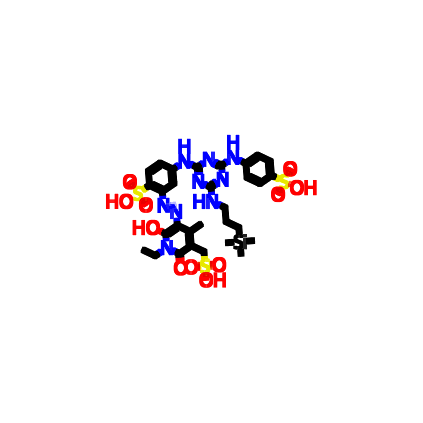 CCn1c(O)c(/N=N/c2cc(Nc3nc(NCCC[Si](C)(C)C)nc(Nc4ccc(S(=O)(=O)O)cc4)n3)ccc2S(=O)(=O)O)c(C)c(CS(=O)(=O)O)c1=O